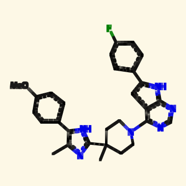 COc1ccc(-c2[nH]c(C3(C)CCN(c4ncnc5[nH]c(-c6ccc(F)cc6)cc45)CC3)nc2C)cc1